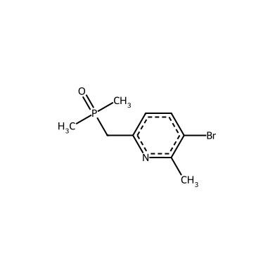 Cc1nc(CP(C)(C)=O)ccc1Br